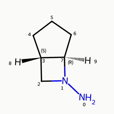 NN1C[C@@H]2CCC[C@H]21